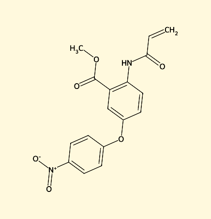 C=CC(=O)Nc1ccc(Oc2ccc([N+](=O)[O-])cc2)cc1C(=O)OC